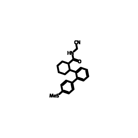 CSc1ccc(-c2ccccc2C2CCCCC2C(=O)NCC#N)cc1